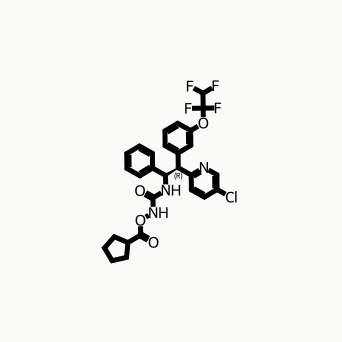 O=C(NOC(=O)C1CCCC1)NC(c1ccccc1)[C@@H](c1cccc(OC(F)(F)C(F)F)c1)c1ccc(Cl)cn1